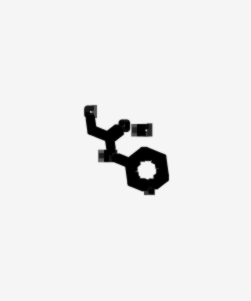 Cl.O=C(CCl)Nc1cccnc1